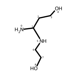 NC(CCO)NCCO